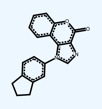 O=c1oc2ccccc2c2c1ncn2-c1ccc2c(c1)CCC2